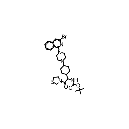 CC(C)(C)OC(=O)NC(C(=O)N1CCSC1)C1CCC(N2CCN(c3nc(Br)cc4ccccc34)CC2)CC1